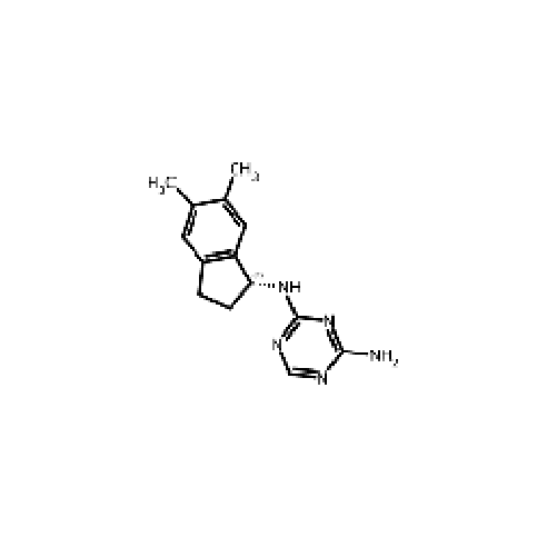 Cc1cc2c(cc1C)[C@H](Nc1ncnc(N)n1)CC2